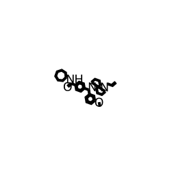 C=CCN1C2CCC3C1CCC2N3C(c1ccc(C(=O)NC2CCCCCC2)cc1)c1cccc(OC)c1